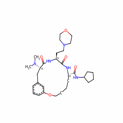 CN(C)[C@H]1Cc2cccc(c2)OCCCC[C@@H](C(=O)NC2CCCC2)NC(=O)[C@H](CCN2CCOCC2)NC1=O